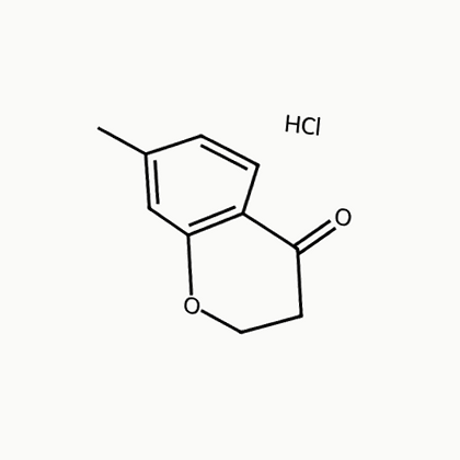 Cc1ccc2c(c1)OCCC2=O.Cl